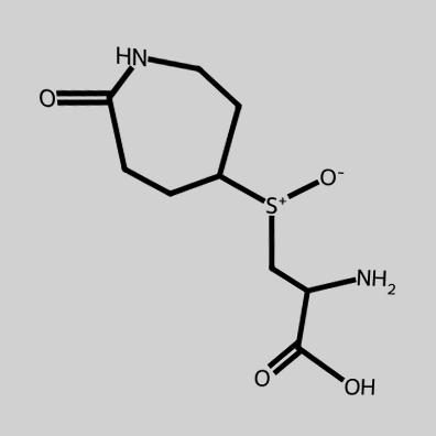 NC(C[S+]([O-])C1CCNC(=O)CC1)C(=O)O